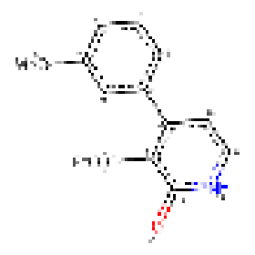 CCOC(=O)c1c(-c2cccc(OC)c2)cc[nH]c1=O